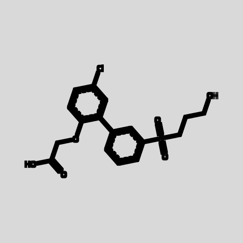 O=C(O)COc1ccc(Cl)cc1-c1cccc(S(=O)(=O)CCCO)c1